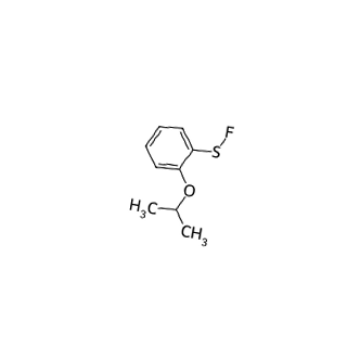 CC(C)Oc1ccccc1SF